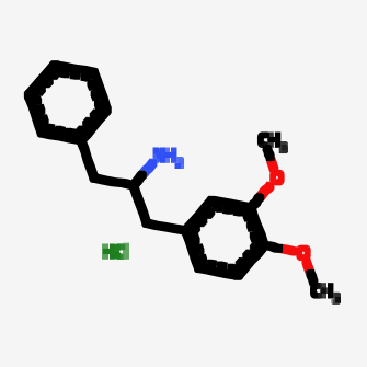 COc1ccc(CC(N)Cc2ccccc2)cc1OC.Cl